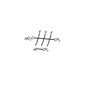 CC(F)(F)C(F)(F)C(F)(F)C(=O)O.CCCC